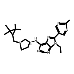 CCn1c(-c2cnc(C)nc2)nc2c(N[C@H]3CCN(CC4C(C)(C)C4(C)C)C3)ncnc21